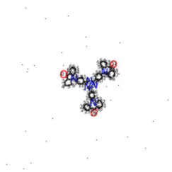 O=c1c2ccccc2n(-c2ccc(-c3nc(-c4ccc(-n5c6ccccc6c(=O)c6ccccc65)cc4)nc(-c4ccc(-n5c6ccccc6c(=O)c6ccccc65)cc4)n3)cc2)c2ccccc12